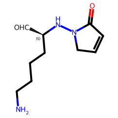 NCCCC[C@@H](C=O)NN1CC=CC1=O